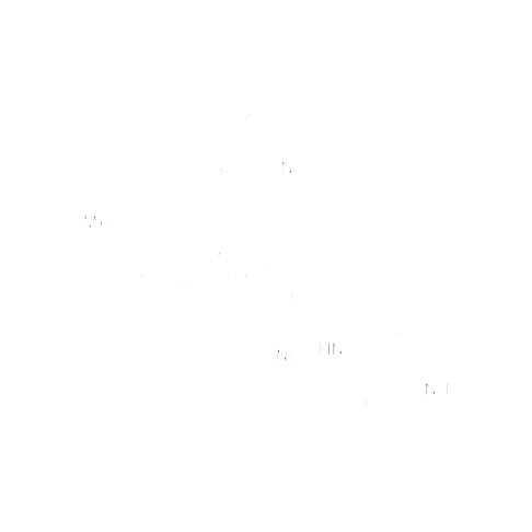 COc1ccc(Oc2c(/C(C=N)=C/NC3CCNCC3)ccc3c2CCC(C)N3C)cc1